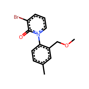 COCc1cc(C)ccc1-n1cccc(Br)c1=O